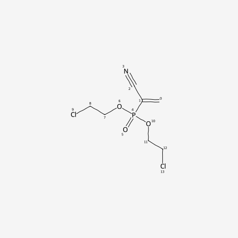 C=C(C#N)P(=O)(OCCCl)OCCCl